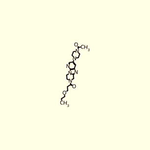 CCCOCCC(=O)N1CCn2c(nc3cc(N4CCN(C(C)=O)CC4)cnc32)C1